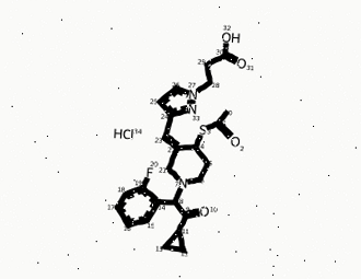 CC(=O)SC1CCN(C(C(=O)C2CC2)c2ccccc2F)C/C1=C/c1ccn(CCC(=O)O)n1.Cl